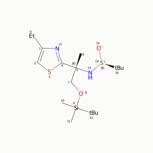 CCc1csc([C@@](C)(CO[Si](C)(C)C(C)(C)C)N[S@@+]([O-])C(C)(C)C)n1